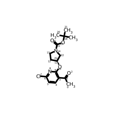 CC(=O)c1ccc(Cl)nc1O[C@H]1CCN(C(=O)OC(C)(C)C)C1